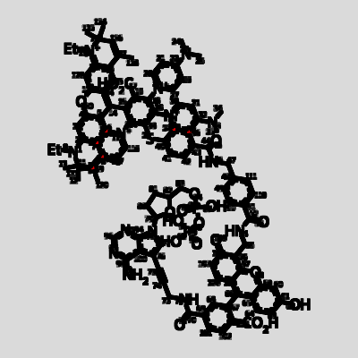 CCN1c2cc3c(cc2C(C)=CC1(C)C)C(c1c(C(=O)O)c(-[n+]2ccc(N(C)C)cc2)c(-[n+]2ccc(N(C)C)cc2)c(Sc2ccc(C(=O)NCc4ccc(C(=O)NCc5c6oc7cc(O)ccc7c(-c7cc(C(=O)NCC#Cc8cn(C9CCC(COP(=O)(O)OP(=O)(O)O)O9)c9ncnc(N)c89)ccc7C(=O)O)c-6ccc5=O)cc4)cc2)c1-[n+]1ccc(N(C)C)cc1)=c1cc2c(cc1O3)=[N+](CC)C(C)(C)C=C2C